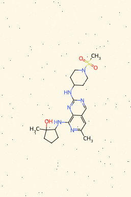 Cc1cc2cnc(NC3CCN(S(C)(=O)=O)CC3)nc2c(NC2CCCC2(C)O)n1